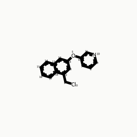 ClCc1cc(Oc2cccnc2)cc2ccccc12